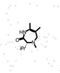 CC1=C(C)NC(=O)[C@@H](C(C)C)N(C)C1